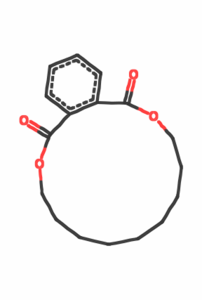 O=C1OCCCCCCCCCOC(=O)c2ccccc21